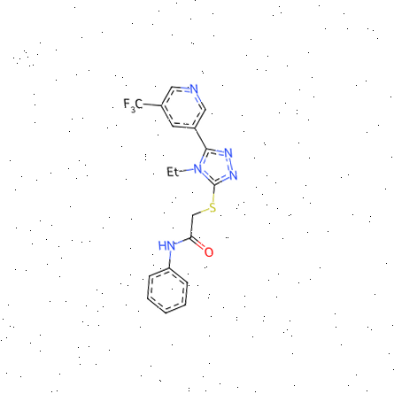 CCn1c(SCC(=O)Nc2ccccc2)nnc1-c1cncc(C(F)(F)F)c1